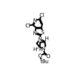 CC(C)(C)OC(=O)N1C[C@H]2C[C@@H]1CN2c1nc2c(Cl)nc(Cl)cc2s1